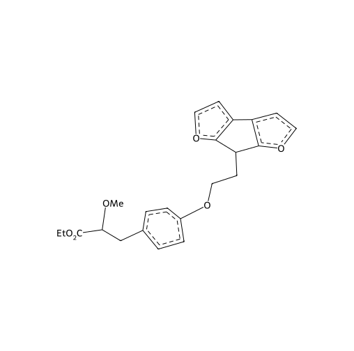 CCOC(=O)C(Cc1ccc(OCCC2c3occc3-c3ccoc32)cc1)OC